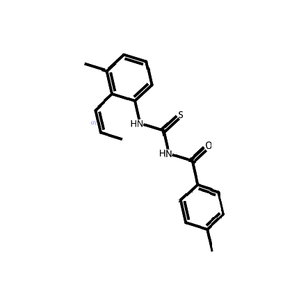 C/C=C\c1c(C)cccc1NC(=S)NC(=O)c1ccc(C)cc1